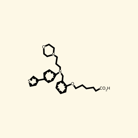 O=C(O)CCCCCOc1ccccc1CN(CCCN1CCOCC1)c1ccc(-c2ccsc2)cc1